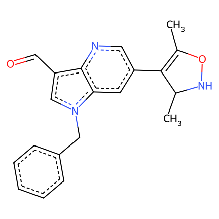 CC1=C(c2cnc3c(C=O)cn(Cc4ccccc4)c3c2)C(C)NO1